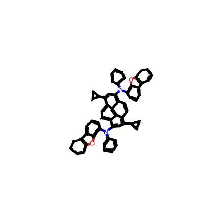 C1=Cc2c(oc3c(N(c4ccccc4)c4cc(C5CC5)c5ccc6c(N(c7ccccc7)c7cccc8c9c(oc78)C=CCC9)cc(C7CC7)c7ccc4c5c76)cccc23)CC1